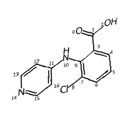 O=C(O)c1cccc(Cl)c1Nc1ccncc1